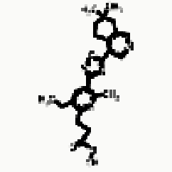 CCc1cc(-c2noc(-c3cncc4c3CCC(C)(C)C4)n2)c(C)nc1CCC(=O)OC